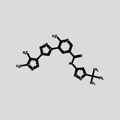 Cc1ncc(C(=O)Nc2cc(C(C)(C)C)on2)cc1-n1cc(-c2cnn(C)c2C)nn1